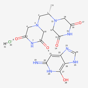 C[C@@H](CN1CC(=O)NC(=O)C1)N1CC(=O)NC(=O)C1.N=c1cc2nc[nH]c2c(O)[nH]1.[Cl-].[H+]